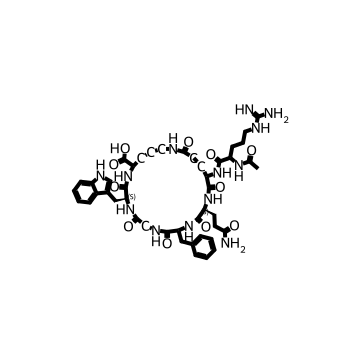 CC(=O)NC(CCCNC(=N)N)C(=O)NC1CCC(=O)NCCCC(C(=O)O)NC(=O)[C@H](Cc2c[nH]c3ccccc23)NC(=O)CNC(=O)C(Cc2ccccc2)NC(=O)[C@H](CCC(N)=O)NC1=O